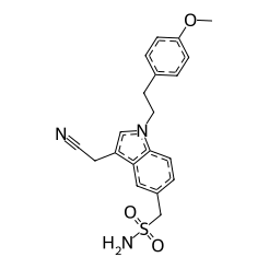 COc1ccc(CCn2cc(CC#N)c3cc(CS(N)(=O)=O)ccc32)cc1